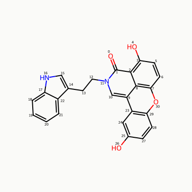 O=c1c2c(O)ccc3c2c(cn1CCc1c[nH]c2ccccc12)-c1cc(O)ccc1O3